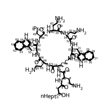 CCCCCCC[C@@H](O)CC(=O)N[C@H](CCN)C(=O)N[C@H]1CCNC(=O)[C@H](Cc2c[nH]c3ccccc23)NC(=O)[C@H](CCN)NC(=O)[C@H](CCN)NC(=O)[C@H](CC(C)C)NC(=O)[C@@H](Cc2c[nH]c3ccccc23)NC(=O)[C@H](CCN)NC1=O